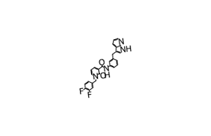 O=C(Nc1cccc(Cc2c[nH]c3ncccc23)c1)c1cccn(Cc2ccc(F)c(F)c2)c1=O